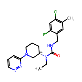 CCN(C(=O)NCc1cc(C)c(Cl)cc1F)[C@H]1CCCN(c2cccnn2)C1